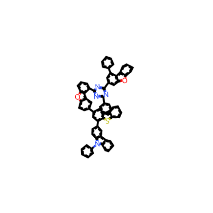 c1ccc(-c2nc(-c3cc(-c4ccccc4)c4c(c3)oc3ccccc34)nc(-c3cccc4oc5ccc(-c6cc(-c7ccc8c(c7)c7ccccc7n8-c7ccccc7)c7sc8ccccc8c7c6)cc5c34)n2)cc1